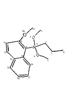 CCC[Si](OC)(OC)c1c(OC)ccc2ccccc12